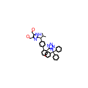 CC(C)C(c1ccc(-c2ccccc2-c2nnnn2C(c2ccccc2)(c2ccccc2)c2ccccc2)cc1)c1nc(C=O)c(C=O)[nH]1